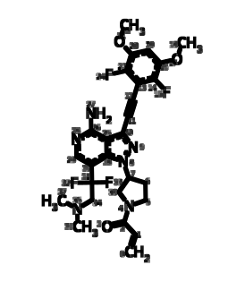 C=CC(=O)N1CCC(n2nc(C#Cc3c(F)c(OC)cc(OC)c3F)c3c(N)ncc(C(F)(F)CN(C)C)c32)C1